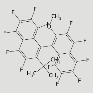 COc1c(F)c(F)c2c(F)c(F)c(F)c(F)c2c1-c1c(C(C)(C)C)c(F)c(F)c2c(F)c(F)c(F)c(F)c12